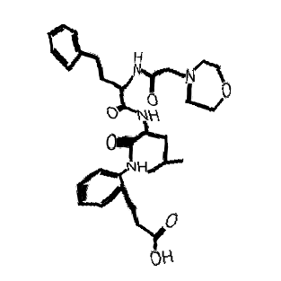 CC(C)CC(NC(=O)C(CCc1ccccc1)NC(=O)CN1CCOCC1)C(=O)Nc1ccccc1CCC(=O)O